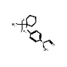 CN([C]=O)c1ccc(OC2(C(C)(C)C)CCCCC2)cc1